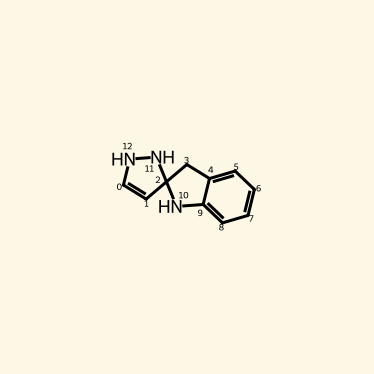 C1=CC2(Cc3ccccc3N2)NN1